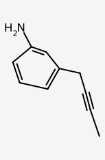 CC#CCc1cccc(N)c1